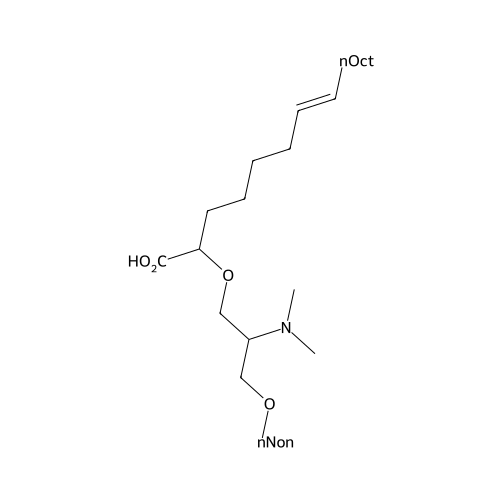 CCCCCCCCC=CCCCCC(OCC(COCCCCCCCCC)N(C)C)C(=O)O